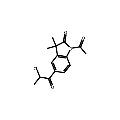 CC(=O)N1C(=O)C(C)(C)c2cc(C(=O)C(C)Cl)ccc21